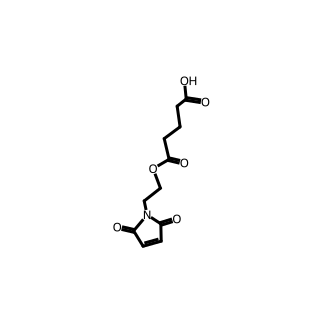 O=C(O)CCCC(=O)OCCN1C(=O)C=CC1=O